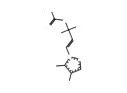 Bc1c(C(=O)OCC)cnn1/C=C/C(C)(C)NC(=O)OC